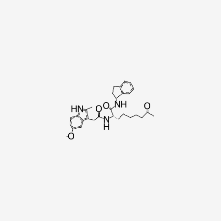 COc1ccc2[nH]c(C)c(CC(=O)N[C@@H](CCCCCC(C)=O)C(=O)NC3CCc4ccccc43)c2c1